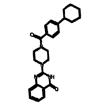 O=C(c1ccc(C2CCCCC2)cc1)N1CCN(c2nc3ccccc3c(=O)[nH]2)CC1